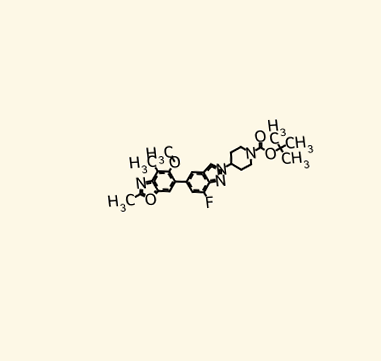 COc1c(-c2cc(F)c3nn(C4CCN(C(=O)OC(C)(C)C)CC4)cc3c2)cc2oc(C)nc2c1C